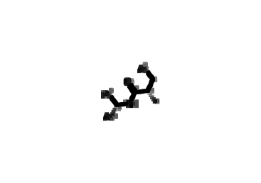 CC(=O)C[C@H](C)C(=O)N[C@H](C(C)=O)C(C)C